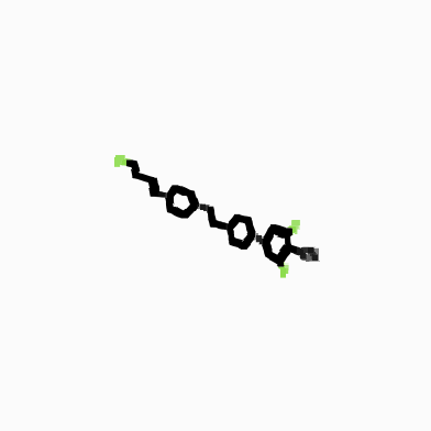 N#Cc1c(F)cc([C@H]2CC[C@H](CC[C@H]3CC[C@H](C=CCCF)CC3)CC2)cc1F